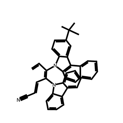 C=C/C(=C(\C=C\C#N)n1c2ccccc2c2ccccc21)n1c2ccc(C(C)(C)C)cc2c2c3ccccc3ccc21